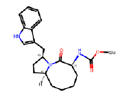 CC(C)(C)OC(=O)N[C@H]1CCCC[C@H]2CC[C@@H](Cc3c[nH]c4ccccc34)N2C1=O